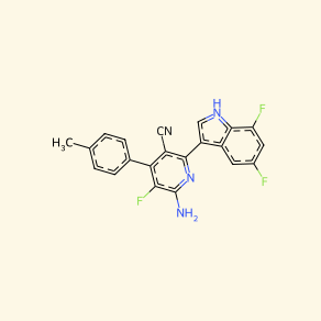 Cc1ccc(-c2c(F)c(N)nc(-c3c[nH]c4c(F)cc(F)cc34)c2C#N)cc1